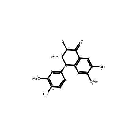 COc1cc([C@@H]2c3cc(OC)c(O)cc3C(=O)[C@H](C)[C@H]2C)ccc1O